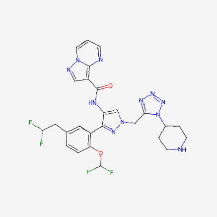 O=C(Nc1cn(Cc2nnnn2C2CCNCC2)nc1-c1cc(CC(F)F)ccc1OC(F)F)c1cnn2cccnc12